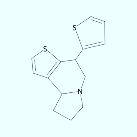 c1csc(C2CN3CCCC3c3ccsc32)c1